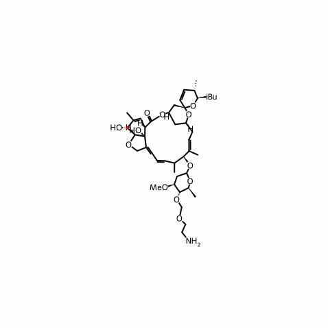 CCC(C)[C@H]1O[C@]2(C=C[C@@H]1C)C[C@@H]1C[C@@H](C/C=C(\C)[C@@H](OC3C[C@H](OC)[C@@H](OCOCCN)[C@H](C)O3)C(C)/C=C/C=C3\CO[C@@H]4[C@H](O)C(C)=C[C@@H](C(=O)O1)[C@]34O)O2